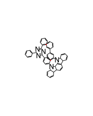 C1=CC2C3=C(C4C(C=C3)C3C=CC=CC3N4c3ccc(-c4nc(-c5ccccc5)nc(-c5ccccc5)n4)cc3)N(c3cccc(-c4ccccc4)c3)C2C=C1